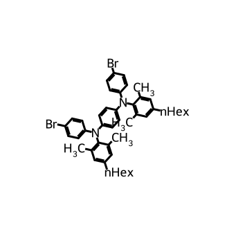 CCCCCCc1cc(C)c(N(c2ccc(Br)cc2)c2ccc(N(c3ccc(Br)cc3)c3c(C)cc(CCCCCC)cc3C)cc2)c(C)c1